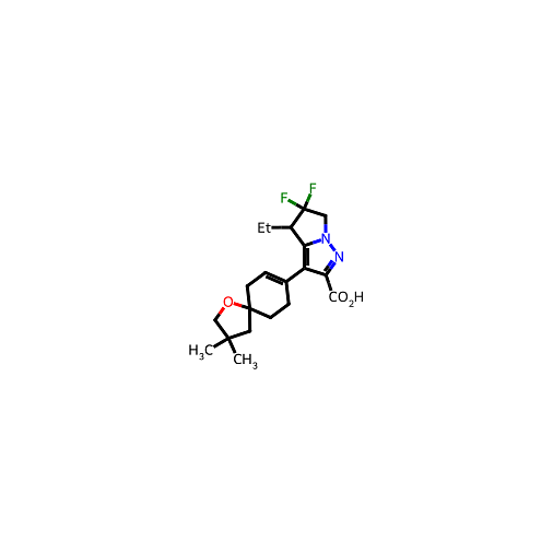 CCC1c2c(C3=CCC4(CC3)CC(C)(C)CO4)c(C(=O)O)nn2CC1(F)F